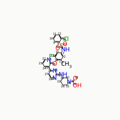 Cc1cc(NS(=O)(=O)c2ccccc2Cl)cc(F)c1Oc1ncccc1-c1ccnc(NC2CCCN(C(=O)O)C2)n1